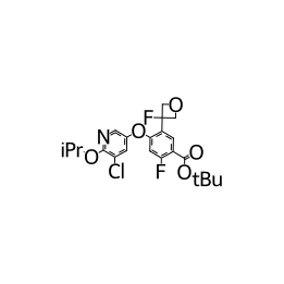 CC(C)Oc1ncc(Oc2cc(F)c(C(=O)OC(C)(C)C)cc2C2(F)COC2)cc1Cl